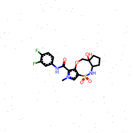 Cn1cc2c(c1C(=O)Nc1ccc(F)c(F)c1)OCC1(O)CCCC1NS2(=O)=O